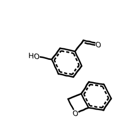 O=Cc1cccc(O)c1.c1ccc2c(c1)CO2